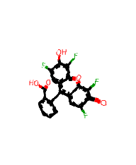 O=C(O)c1ccccc1-c1c2cc(F)c(=O)c(F)c-2oc2c(F)c(O)c(F)cc12